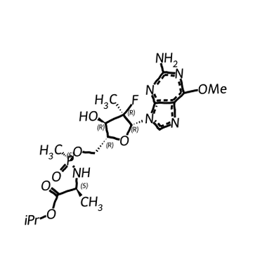 COc1nc(N)nc2c1ncn2[C@@H]1O[C@H](CO[P@](C)(=O)N[C@@H](C)C(=O)OC(C)C)[C@@H](O)[C@@]1(C)F